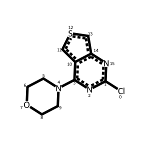 Clc1nc(N2CCOCC2)c2cscc2n1